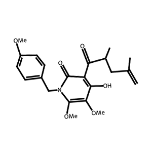 C=C(C)CC(C)C(=O)c1c(O)c(OC)c(OC)n(Cc2ccc(OC)cc2)c1=O